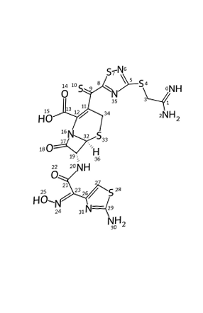 N=C(N)CSc1nsc(C(=S)C2=C(C(=O)O)N3C(=O)[C@@H](NC(=O)/C(=N\O)c4csc(N)n4)[C@@H]3SC2)n1